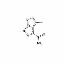 Cc1csc2c1c(C(N)=O)nn2C